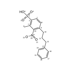 Cc1c(S(=O)(=O)O)ccc(CCCc2ccccc2)c1[N+](=O)[O-]